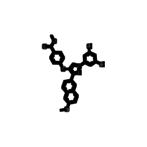 COC(=O)c1ccc(Oc2cn(-c3cc(Cl)cc(Cl)c3)nc2-c2ccc3cc(OC)ccc3c2)cc1